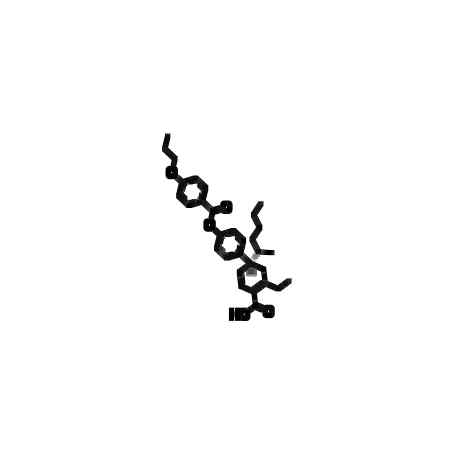 CCCCC(C)[C@@]1(c2ccc(OC(=O)c3ccc(OCCC)cc3)cc2)C=CC(C(=O)O)=C(CC)C1